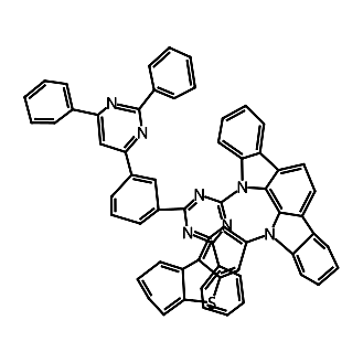 c1ccc(-c2cc(-c3cccc(-c4nc(-c5ccccc5)nc(-n5c6ccccc6c6ccc7c8ccccc8n(-c8ccc9c(c8)sc8ccccc89)c7c65)n4)c3)nc(-c3ccccc3)n2)cc1